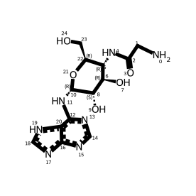 NCC(=O)N[C@@H]1[C@@H](O)[C@H](O)[C@H](Nc2ncnc3nc[nH]c23)O[C@H]1CO